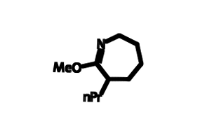 CCCC1CCCCN=C1OC